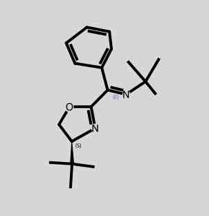 CC(C)(C)/N=C(/C1=N[C@@H](C(C)(C)C)CO1)c1ccccc1